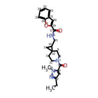 CCc1cc(C(=O)N2CCC3(CC2)CC3CNC(=O)c2cc3ccccc3o2)n(C)n1